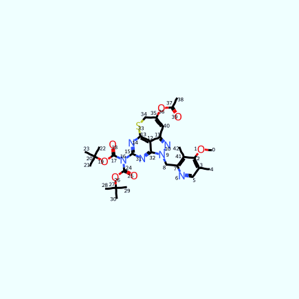 COc1c(C)cnc(Cn2nc3c4c(nc(N(C(=O)OC(C)(C)C)C(=O)OC(C)(C)C)nc42)SCC(OC(C)=O)=C3)c1C